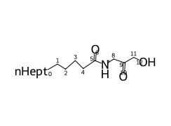 CCCCCCCCCCCC(=O)NCC(=O)CO